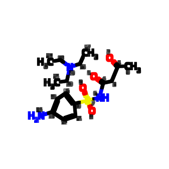 CC(=O)CC(=O)NS(=O)(=O)c1ccc(N)cc1.CCN(CC)CC